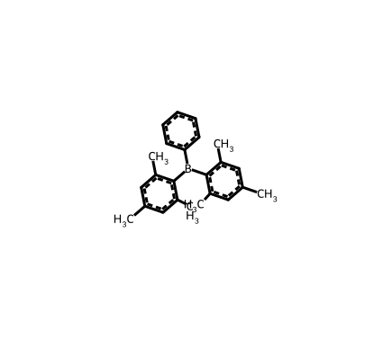 Cc1cc(C)c(B(c2ccccc2)c2c(C)cc(C)cc2C)c(C)c1